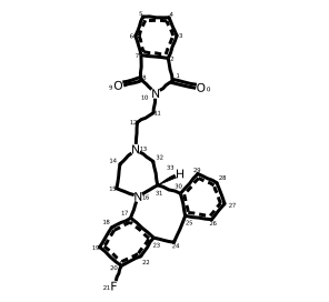 O=C1c2ccccc2C(=O)N1CCN1CCN2c3ccc(F)cc3Cc3ccccc3[C@H]2C1